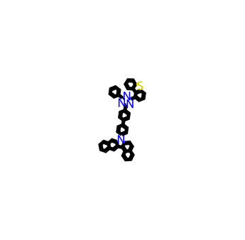 C1=CC2Sc3cccc(-c4nc(-c5ccccc5)nc(-c5ccc(-c6ccc(-n7c8cc9ccccc9cc8c8c9ccccc9ccc87)cc6)cc5)n4)c3C2C=C1